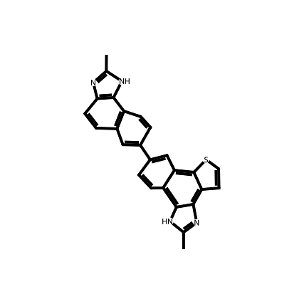 Cc1nc2ccc3cc(-c4ccc5c(c4)c4sccc4c4nc(C)[nH]c54)ccc3c2[nH]1